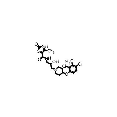 Cc1c(Cl)ccc(OC2CCN(C[C@H](O)CNC(=O)c3sc(=O)[nH]c3C(F)(F)F)CC2)c1Cl